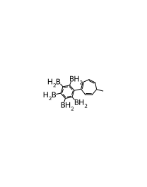 Bc1c(B)c(B)c(C2=CC=CC(C)C=C2)c(B)c1B